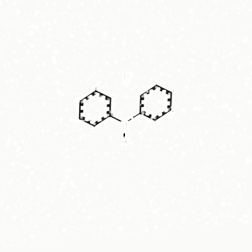 Br[SiH](c1ccccc1)c1ccccc1.[H+]